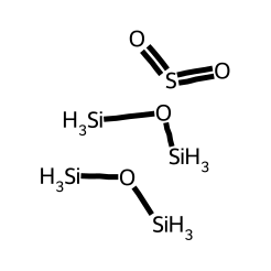 O=S=O.[SiH3]O[SiH3].[SiH3]O[SiH3]